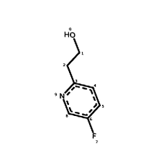 OCCc1ccc(F)cn1